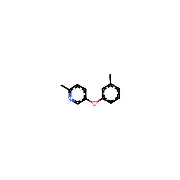 Cc1cccc(Oc2ccc(C)nc2)c1